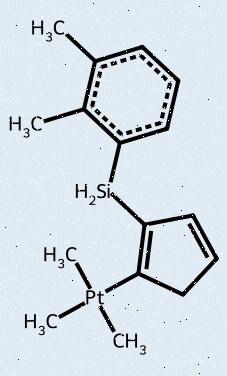 Cc1cccc([SiH2]C2=[C]([Pt]([CH3])([CH3])[CH3])CC=C2)c1C